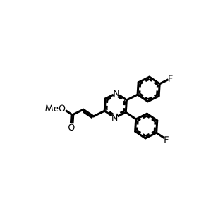 COC(=O)C=Cc1cnc(-c2ccc(F)cc2)c(-c2ccc(F)cc2)n1